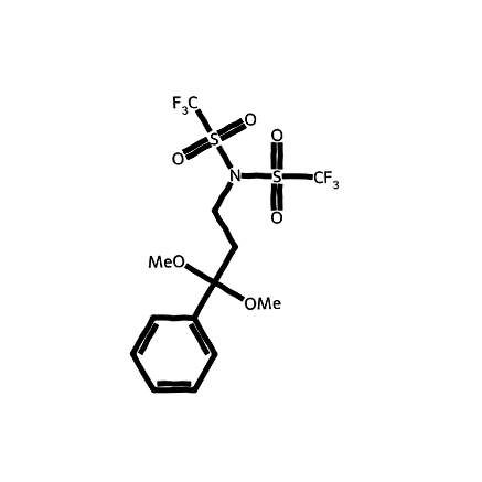 COC(CCN(S(=O)(=O)C(F)(F)F)S(=O)(=O)C(F)(F)F)(OC)c1ccccc1